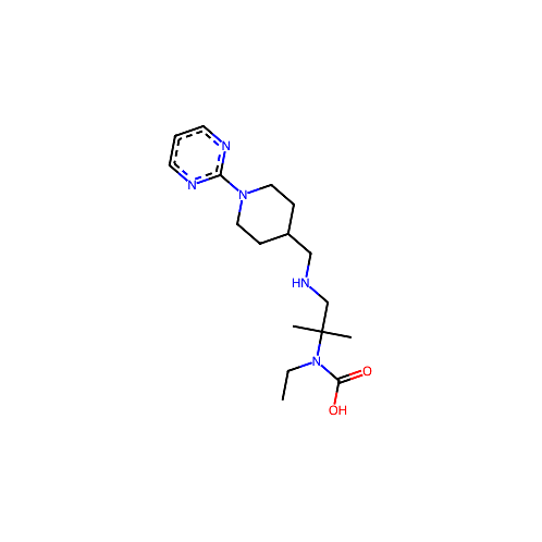 CCN(C(=O)O)C(C)(C)CNCC1CCN(c2ncccn2)CC1